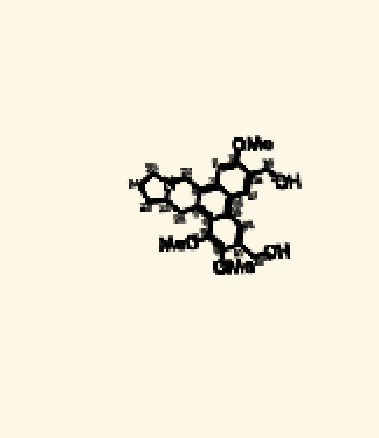 COc1cc2c3c(c4c(OC)c(OC)c(CO)cc4c2cc1CO)CC1CCCN1C3